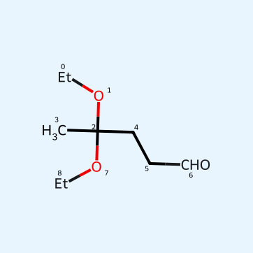 CCOC(C)(CCC=O)OCC